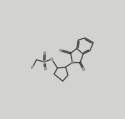 O=C1c2ccccc2C(=O)N1C1CCCC1OS(=O)(=O)CF